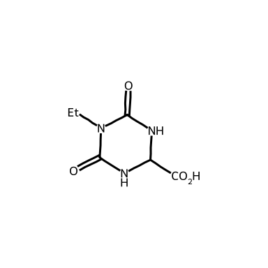 CCN1C(=O)NC(C(=O)O)NC1=O